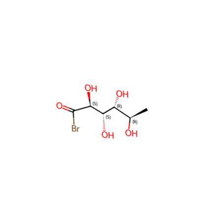 C[C@@H](O)[C@@H](O)[C@H](O)[C@H](O)C(=O)Br